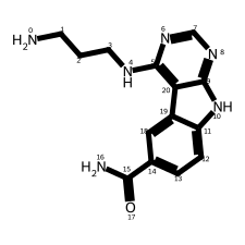 NCCCNc1ncnc2[nH]c3ccc(C(N)=O)cc3c12